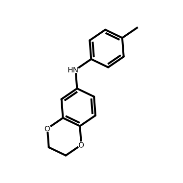 Cc1ccc(Nc2ccc3c(c2)OCCO3)cc1